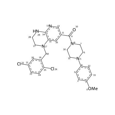 COc1ccc(N2CCN(C(=O)c3cnc4c(c3)N(Cc3cc(Cl)ccc3Cl)CCN4)CC2)cc1